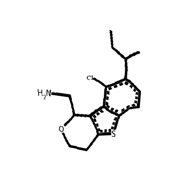 CCC(C)c1ccc2sc3c(c2c1Cl)C(CN)OCC3